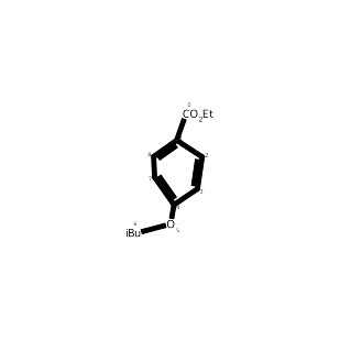 CCOC(=O)c1ccc(OC(C)CC)cc1